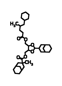 CC(CCC(=O)OCC1OC(C2CC3CCCC(C3)C2)OC1COC(=O)C1(C)CC2CCCC(C2)C1)CC1CCCCC1